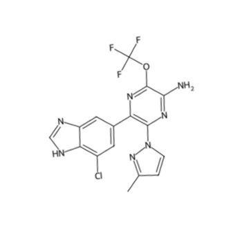 Cc1ccn(-c2nc(N)c(OC(F)(F)F)nc2-c2cc(Cl)c3[nH]cnc3c2)n1